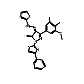 COc1cc(C2=NN(c3nc(-c4ccccc4)cs3)C(=O)/C2=N\Nc2nccs2)cc(C)c1C